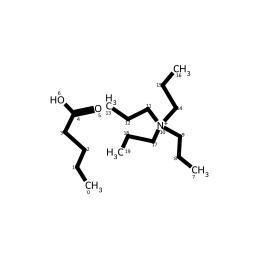 CCCCC(=O)O.CCC[N+](CCC)(CCC)CCC